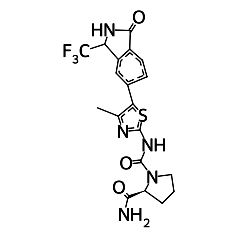 Cc1nc(NC(=O)N2CCC[C@H]2C(N)=O)sc1-c1ccc2c(c1)C(C(F)(F)F)NC2=O